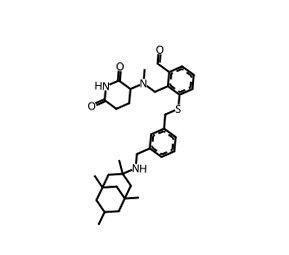 CC1CC2(C)CC(C)(C1)CC(C)(NCc1cccc(CSc3cccc(C=O)c3CN(C)C3CCC(=O)NC3=O)c1)C2